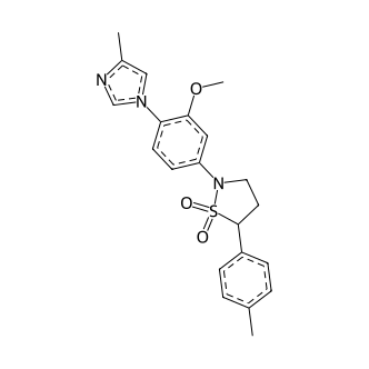 COc1cc(N2CCC(c3ccc(C)cc3)S2(=O)=O)ccc1-n1cnc(C)c1